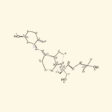 C=C1CC[C@H](O)C/C1=C/C=C1CCC[C@@]2(C)C1CC[C@@H]2[C@@](C)(CO)CCCC(C)(C)O